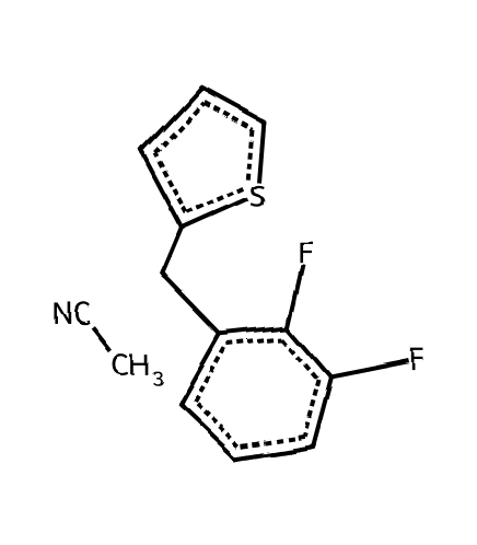 CC#N.Fc1cccc(Cc2cccs2)c1F